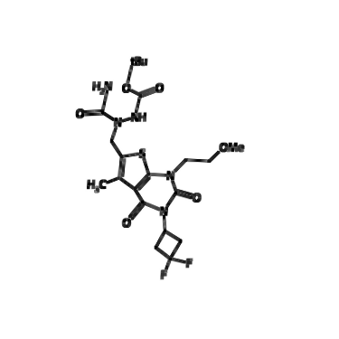 COCCn1c(=O)n(C2CC(F)(F)C2)c(=O)c2c(C)c(CN(NC(=O)OC(C)(C)C)C(N)=O)sc21